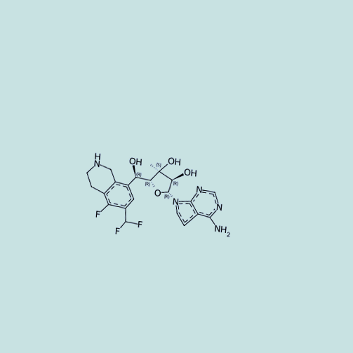 C[C@@]1(O)[C@@H]([C@H](O)c2cc(C(F)F)c(F)c3c2CNCC3)O[C@@H](n2ccc3c(N)ncnc32)[C@@H]1O